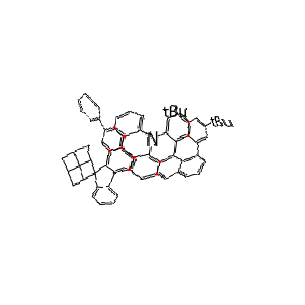 CC(C)(C)c1cc(-c2cccc3cccc(-c4ccccc4N(c4ccccc4-c4ccc(-c5ccccc5)cc4)c4ccccc4-c4ccc5c(c4)C4(c6ccccc6-5)C5CC6CC7CC4C675)c23)cc(C(C)(C)C)c1